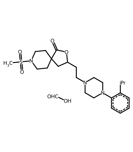 CC(C)c1ccccc1N1CCN(CCC2CC3(CCN(S(C)(=O)=O)CC3)C(=O)O2)CC1.O=CO